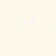 O=c1c2ccccc2nc2n1CCC2CC1CCCCC1